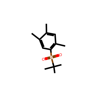 Cc1cc(C)c(S(=O)(=O)C(C)(C)C)cc1C